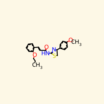 CCCOc1ccccc1/C=C/C(=O)NC1=NC(c2ccc(OC)cc2)CS1